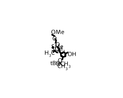 COCCOCCOCCN(CC(C)(C)SSC)c1cc(CO)cc(CO[Si](C)(C)C(C)(C)C)c1